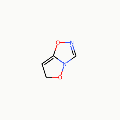 [C]1=NOC2=CCON12